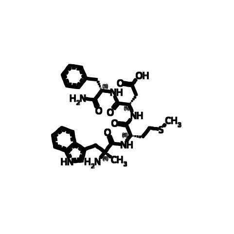 CSCC[C@H](NC(=O)[C@](C)(N)Cc1c[nH]c2ccccc12)C(=O)N[C@@H](CC(=O)O)C(=O)N[C@@H](Cc1ccccc1)C(N)=O